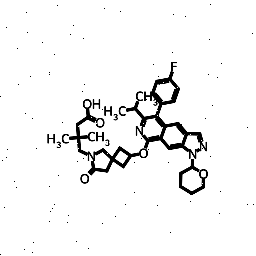 CC(C)c1nc(OC2CC3(CC(=O)N(CC(C)(C)CC(=O)O)C3)C2)c2cc3c(cnn3C3CCCCO3)cc2c1-c1ccc(F)cc1